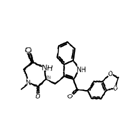 CN1CC(=O)N[C@@H](Cc2c(C(=O)c3ccc4c(c3)OCO4)[nH]c3ccccc23)C1=O